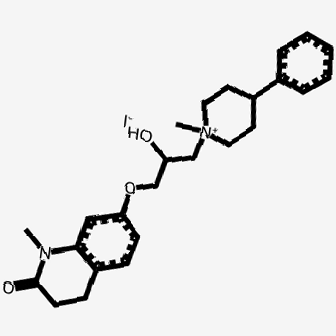 CN1C(=O)CCc2ccc(OCC(O)C[N+]3(C)CCC(c4ccccc4)CC3)cc21.[I-]